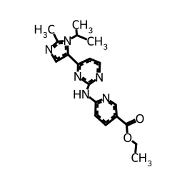 CCOC(=O)c1ccc(Nc2nccc(-c3cnc(C)n3C(C)C)n2)nc1